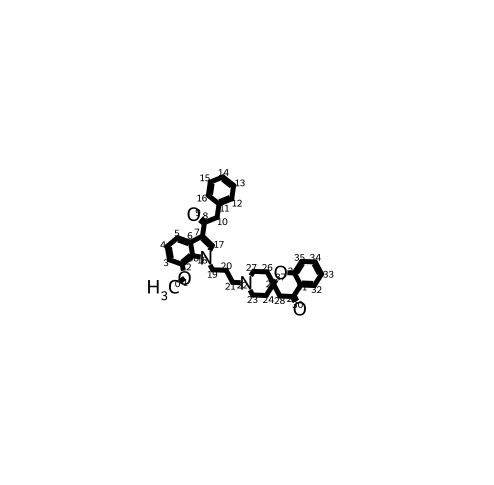 COc1cccc2c(C(=O)Cc3ccccc3)cn(CCCN3CCC4(CC3)CC(=O)c3ccccc3O4)c12